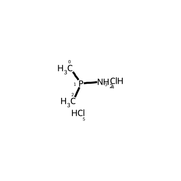 CP(C)N.Cl.Cl